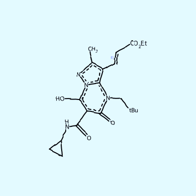 CCOC(=O)/C=C/c1c(C)nn2c(O)c(C(=O)NC3CC3)c(=O)n(CC(C)(C)C)c12